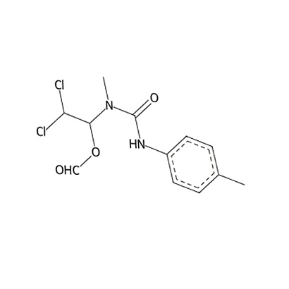 Cc1ccc(NC(=O)N(C)C(OC=O)C(Cl)Cl)cc1